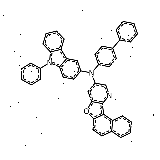 c1ccc(-c2ccc(N(c3cnc4c(c3)oc3ccc5ccccc5c34)c3ccc4c(c3)c3ccccc3n4-c3ccccc3)cc2)cc1